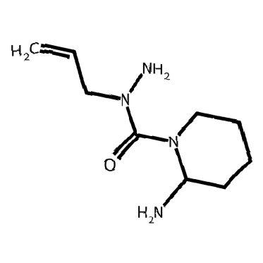 C=CCN(N)C(=O)N1CCCCC1N